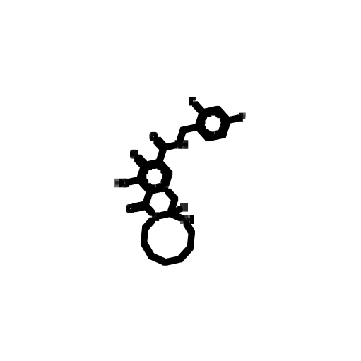 O=C(NCc1ccc(F)cc1F)c1cn2c(c(O)c1=O)C(=O)N1CCCCCCCN[C@H]1C2